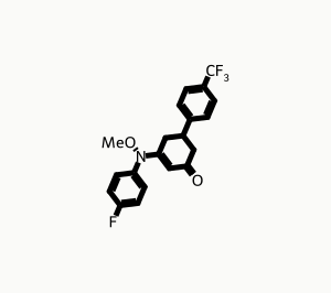 CON(C1=CC(=O)CC(c2ccc(C(F)(F)F)cc2)C1)c1ccc(F)cc1